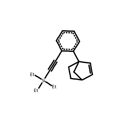 CC[Si](C#Cc1ccccc1C12C=CC(CC1)C2)(CC)CC